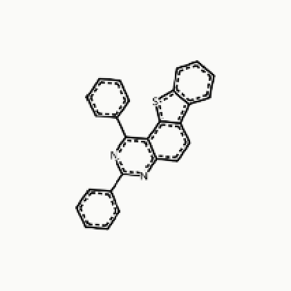 c1ccc(-c2nc(-c3ccccc3)c3c(ccc4c5ccccc5sc43)n2)cc1